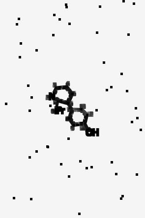 CC(C)c1ncccc1-c1ccc(O)cc1